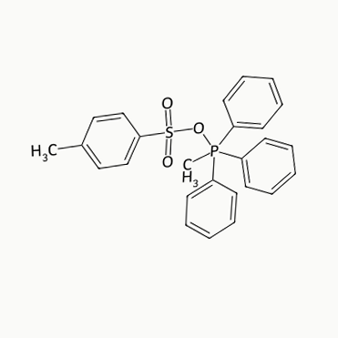 Cc1ccc(S(=O)(=O)OP(C)(c2ccccc2)(c2ccccc2)c2ccccc2)cc1